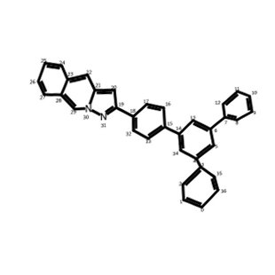 c1ccc(-c2cc(-c3ccccc3)cc(-c3ccc(-c4cc5cc6ccccc6cn5n4)cc3)c2)cc1